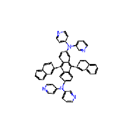 c1cncc(N(c2ccncc2)c2ccc3c(-c4ccc5ccccc5c4)c4cc(N(c5ccncc5)c5cccnc5)ccc4c(-c4ccc5ccccc5c4)c3c2)c1